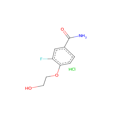 Cl.NC(=O)c1ccc(OCCO)c(F)c1